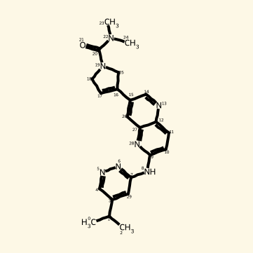 CC(C)c1cnnc(Nc2ccc3ncc(C4=CCN(C(=O)N(C)C)C4)cc3n2)c1